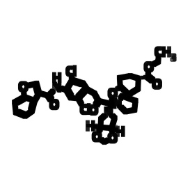 CCOC(=O)[C@H]1CC[C@H](OC(C(=O)Cc2cc(Cl)c(NC(=O)c3coc4ccccc34)cc2Cl)(N2CCCC2)N2C[C@@H]3OCO[C@@H]3C2)CC1